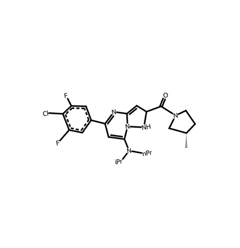 CCCN(C1=CC(c2cc(F)c(Cl)c(F)c2)=NC2=CC(C(=O)N3CC[C@H](C)C3)NN21)C(C)C